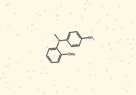 COc1ccccc1N(C)c1ccc(N)cc1